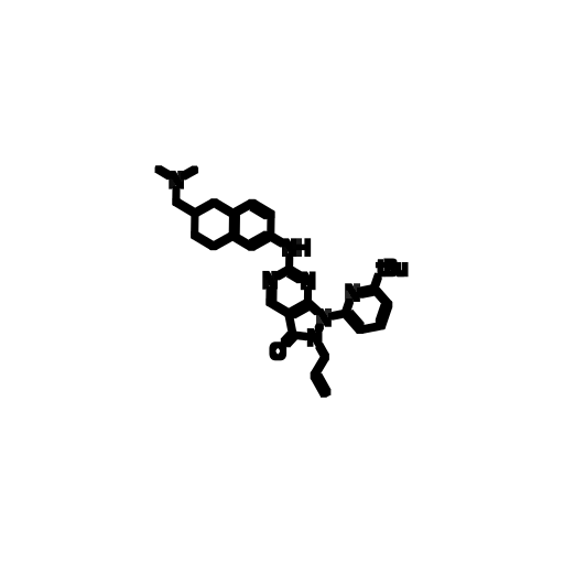 C=CCn1c(=O)c2cnc(Nc3ccc4c(c3)CCC(CN(C)C)C4)nc2n1-c1cccc(C(C)(C)C)n1